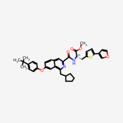 COC(=O)[C@H](Cc1ccc(-c2ccoc2)s1)NC(=O)c1cc2ccc(Oc3ccc(C(C)(C)C)cc3)cc2c(CC2CCCC2)n1